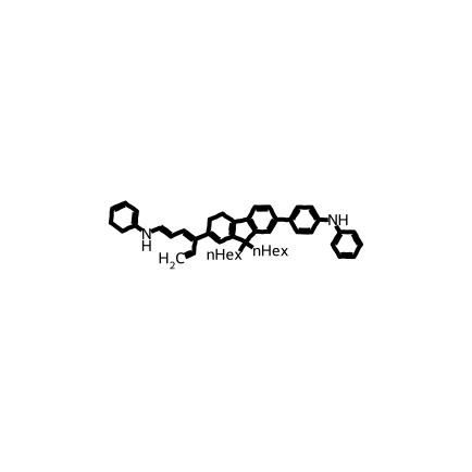 C=C/C(=C\C=C\NC1=CC=CCC1)C1=CC2=C(CC1)c1ccc(-c3ccc(Nc4ccccc4)cc3)cc1C2(CCCCCC)CCCCCC